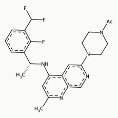 CC(=O)N1CCN(c2cc3c(N[C@H](C)c4cccc(C(F)F)c4F)cc(C)nc3cn2)CC1